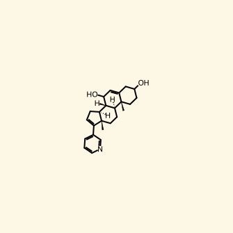 C[C@]12CCC(O)CC1=CC(O)[C@@H]1[C@@H]2CC[C@]2(C)C(c3cccnc3)=CC[C@@H]12